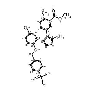 COC(=O)c1cc(-n2c(C)ccc2-c2cc(Cl)ccc2OCc2ccc(C(F)(F)F)cc2)ccc1C